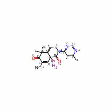 Cc1cc(N2CC=C3C(C)(C)C(=O)C(C#N)=C[C@@]3(P)C2=O)ncn1